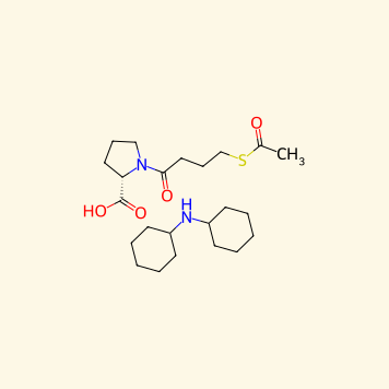 C1CCC(NC2CCCCC2)CC1.CC(=O)SCCCC(=O)N1CCC[C@H]1C(=O)O